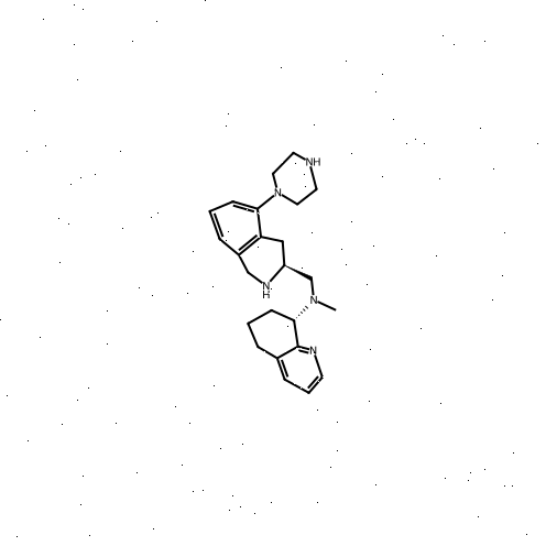 CN(C[C@@H]1Cc2c(cccc2N2CCNCC2)CN1)[C@H]1CCCc2cccnc21